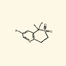 CC1(C)c2cc(Br)cnc2CCS1(=O)=O